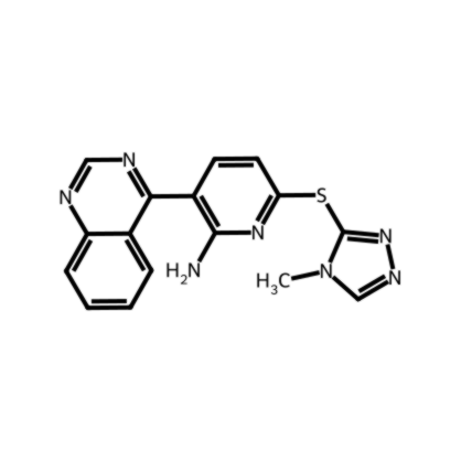 Cn1cnnc1Sc1ccc(-c2ncnc3ccccc23)c(N)n1